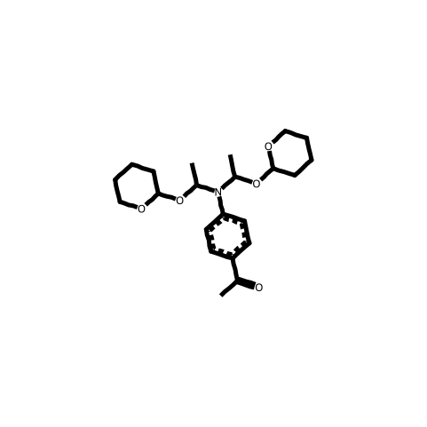 CC(=O)c1ccc(N(C(C)OC2CCCCO2)C(C)OC2CCCCO2)cc1